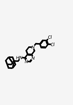 Clc1ccc(CN2CCc3c(ncnc3NCC34CC5CC(CC(C5)C3)C4)C2)cc1Cl